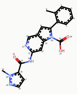 Cc1ccccc1-c1cc2cnc(NC(=O)c3ccnn3C)cc2n1C(=O)O